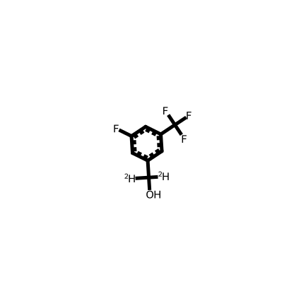 [2H]C([2H])(O)c1cc(F)cc(C(F)(F)F)c1